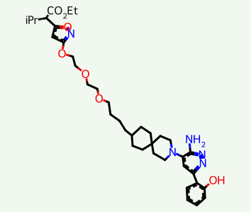 CCOC(=O)C(c1cc(OCCOCCOCCCCC2CCC3(CC2)CCN(c2cc(-c4ccccc4O)nnc2N)CC3)no1)C(C)C